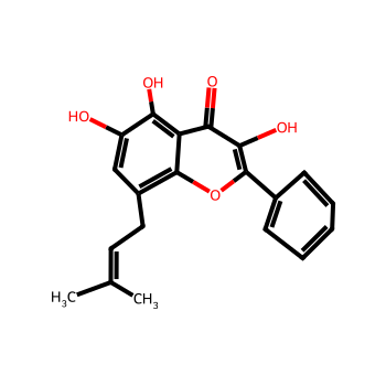 CC(C)=CCc1cc(O)c(O)c2c(=O)c(O)c(-c3ccccc3)oc12